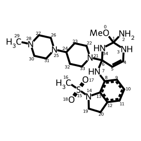 COC1(N)NC=CC(Nc2cccc3c2N(S(C)(=O)=O)CC3)(N2CCC(N3CCN(C)CC3)CC2)N1